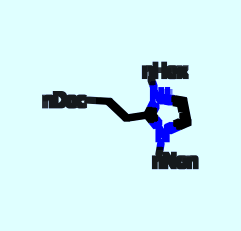 CCCCCCCCCCCCc1n(CCCCCCCCC)cc[n+]1CCCCCC